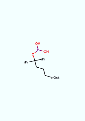 CCCCCCCCCCCC(OP(O)O)(C(C)C)C(C)C